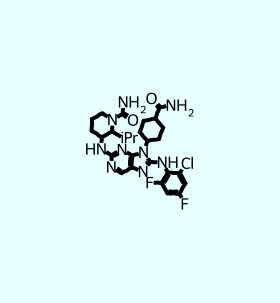 CC(C)C1C(Nc2ncc3nc(Nc4c(F)cc(F)cc4Cl)n(C4CCC(C(N)=O)CC4)c3n2)CCCN1C(N)=O